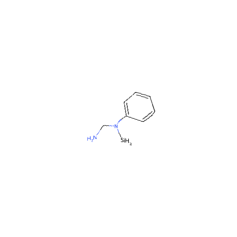 NCN([SiH3])c1ccccc1